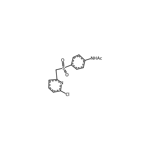 CC(=O)Nc1ccc(S(=O)(=O)Cc2cccc(Cl)n2)cc1